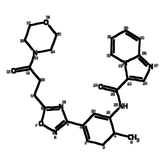 CC1CC=C(c2noc(CCC(=O)N3CCOCC3)n2)C=C1NC(=O)c1cnc2ccccn12